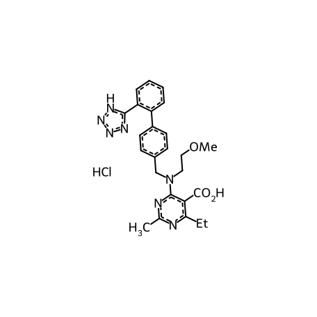 CCc1nc(C)nc(N(CCOC)Cc2ccc(-c3ccccc3-c3nnn[nH]3)cc2)c1C(=O)O.Cl